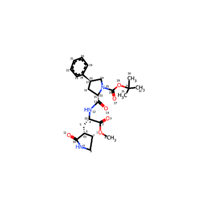 COC(=O)[C@H](C[C@@H]1CCNC1=O)NC(=O)[C@@H]1C[C@@H](c2ccccc2)CN1C(=O)OC(C)(C)C